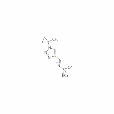 CC(C)(C)[S@+]([O-])/N=C/c1cn(C2(C(F)(F)F)CC2)nn1